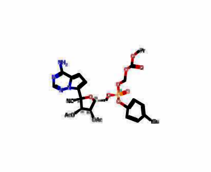 CC(=O)O[C@H]1[C@@H](OC(C)=O)[C@](C#N)(c2ccc3c(N)ncnn23)O[C@@H]1CO[P@](=O)(OCOC(=O)OC(C)C)Oc1ccc(C(C)(C)C)cc1